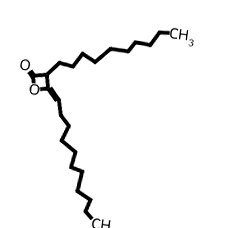 CCCCCCCCCCC=C1OC(=O)C1CCCCCCCCCC